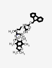 CN/C(=N\S(=O)(=O)c1c(C)c(C)c2c(c1C)CC(C)(C)O2)N(C)CCC[C@H](NC(=O)OCC1c2ccccc2-c2ccccc21)C(=O)O